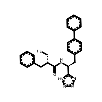 O=C(N[C@@H](Cc1ccc(-c2ccccc2)cc1)c1nnn[nH]1)[C@@H](CS)Cc1ccccc1